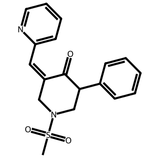 CS(=O)(=O)N1C/C(=C/c2ccccn2)C(=O)C(c2ccccc2)C1